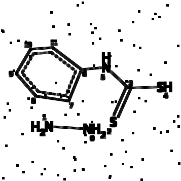 NN.S=C(S)Nc1ccccc1